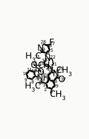 Cc1cc([C@@H](C)Nc2ccccc2S(C)(=O)=O)c2cc(N3CCN(c4cc(F)cnc4C)CC3)n(C)c(=O)c2c1